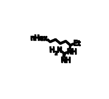 [CH2]CC(CCCCCCCCCC)NC(=N)N